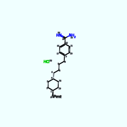 CCCCC[C@H]1CC[C@H](CCCCc2ccc(C(=N)N)cc2)CC1.Cl